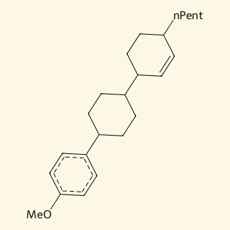 CCCCCC1C=CC(C2CCC(c3ccc(OC)cc3)CC2)CC1